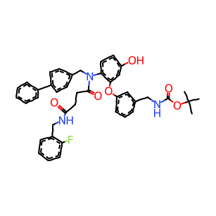 CC(C)(C)OC(=O)NCc1cccc(Oc2cc(O)ccc2N(Cc2ccc(-c3ccccc3)cc2)C(=O)CCC(=O)NCc2ccccc2F)c1